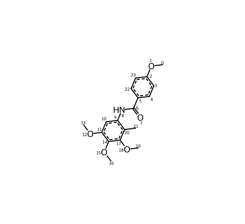 COc1ccc(C(=O)Nc2cc(OC)c(OC)c(OC)c2C)cc1